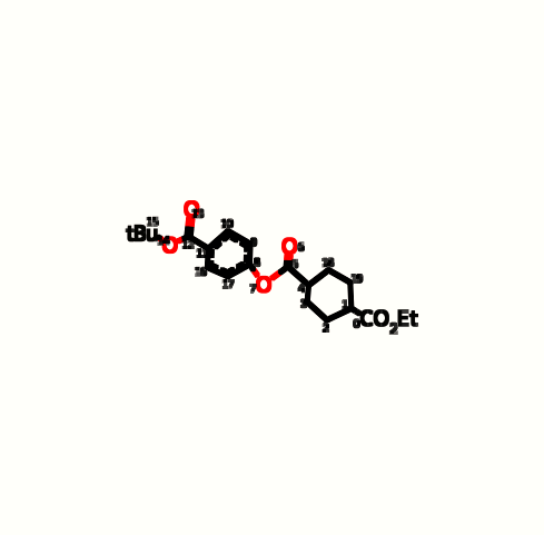 CCOC(=O)C1CCC(C(=O)Oc2ccc(C(=O)OC(C)(C)C)cc2)CC1